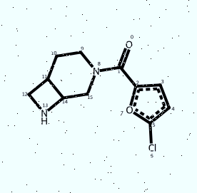 O=C(c1ccc(Cl)o1)N1CCC2CNC2C1